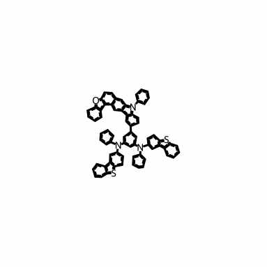 c1ccc(N(c2cc(-c3ccc4c(c3)c3cc5c(ccc6oc7ccccc7c65)cc3n4-c3ccccc3)cc(N(c3ccccc3)c3ccc4sc5ccccc5c4c3)c2)c2ccc3sc4ccccc4c3c2)cc1